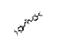 O=[N+]([O-])c1ccc(CCS(=O)(=O)CCc2ccc([N+](=O)[O-])cc2)cc1